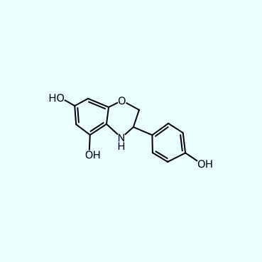 Oc1ccc(C2COc3cc(O)cc(O)c3N2)cc1